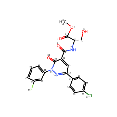 COC(=O)[C@H](CO)NC(=O)c1cc(-c2ccc(Cl)cc2)nn(-c2cccc(F)c2)c1=O